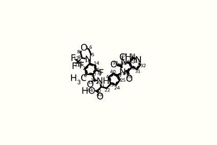 Cc1cc(N2CCOC[C@@H]2C(F)(F)F)cc(F)c1C(=O)NC(Cc1ccc(-n2c(=O)c3ccncc3n(C)c2=O)cc1)C(=O)O